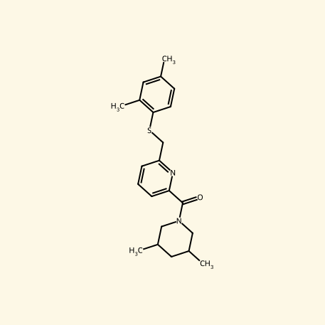 Cc1ccc(SCc2cccc(C(=O)N3CC(C)CC(C)C3)n2)c(C)c1